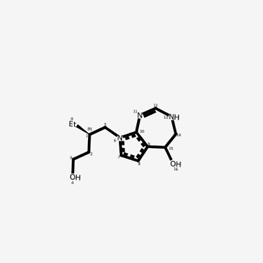 CC[C@H](CCO)Cn1ccc2c1N=CNCC2O